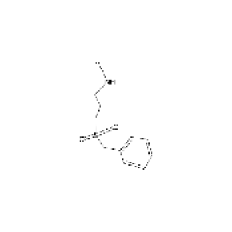 [CH2]NCCCS(=O)(=O)Cc1ccccc1